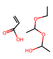 C=CC(=O)O.CCOC(C)OC(C)O